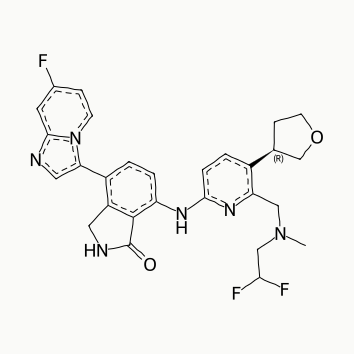 CN(Cc1nc(Nc2ccc(-c3cnc4cc(F)ccn34)c3c2C(=O)NC3)ccc1[C@H]1CCOC1)CC(F)F